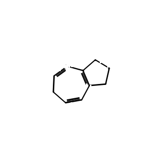 C1=CC2=C(CCC2)N=CC1